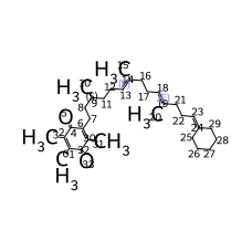 CC1=C(C)C(=O)C(CC[C@@H](C)CC/C=C(\C)CC/C=C(\C)CCC=C2CCCCC2)=C(C)C1=O